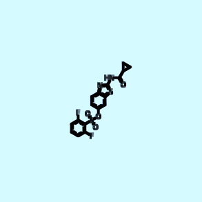 O=C(Nc1nc2ccc(OS(=O)(=O)c3c(F)cccc3F)cc2s1)C1CC1